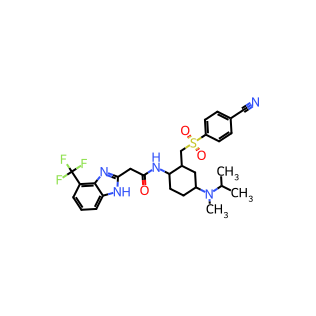 CC(C)N(C)C1CCC(NC(=O)Cc2nc3c(C(F)(F)F)cccc3[nH]2)C(CS(=O)(=O)c2ccc(C#N)cc2)C1